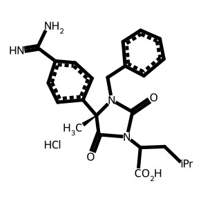 CC(C)CC(C(=O)O)N1C(=O)N(Cc2ccccc2)[C@@](C)(c2ccc(C(=N)N)cc2)C1=O.Cl